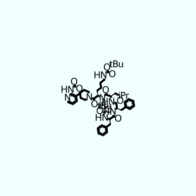 CC(C)C[C@@H](NC(=O)[C@@H](Cc1ccccc1)NC(=O)[C@@H](Cc1ccccc1)NC(=O)OC(C)(C)C)C(=O)N[C@H](CCCCNC(=O)OC(C)(C)C)C(=O)N1CCC2(CC1)OC(=O)Nc1ncccc12